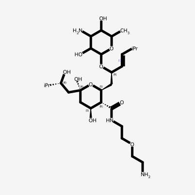 CC(C)/C=C/[C@@H](C[C@@H]1O[C@](O)(C[C@@H](O)C(C)C)C[C@H](O)[C@H]1C(=O)NCCOCCN)OC1OC(C)C(O)C(N)C1O